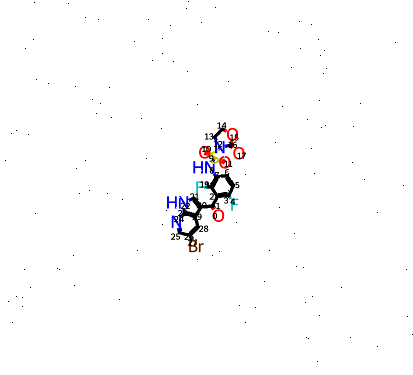 O=C(c1c(F)ccc(NS(=O)(=O)N2CCOC2=O)c1F)c1c[nH]c2ncc(Br)cc12